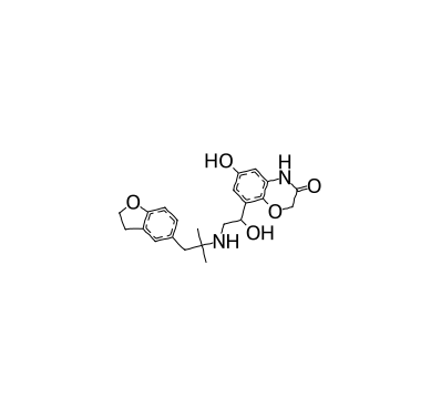 CC(C)(Cc1ccc2c(c1)CCO2)NCC(O)c1cc(O)cc2c1OCC(=O)N2